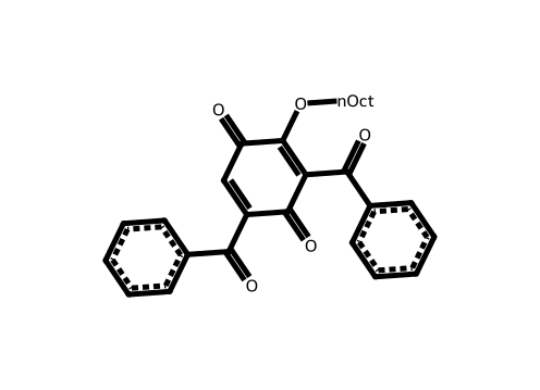 CCCCCCCCOC1=C(C(=O)c2ccccc2)C(=O)C(C(=O)c2ccccc2)=CC1=O